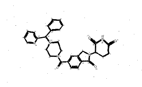 O=C1CCC(N2Cc3cc(C(=O)N4CCN(C(c5ccccc5)c5ccccn5)CC4)ccc3C2=O)C(=O)N1